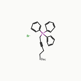 CCCCCCCCCCCCC#CC[P+](c1ccccc1)(c1ccccc1)c1ccccc1.[Br-]